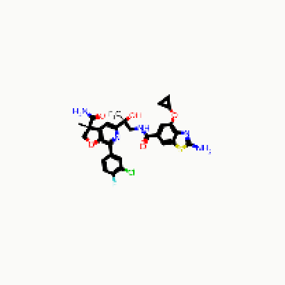 C[C@]1(C(N)=O)COc2c1cc([C@@](O)(CNC(=O)c1cc(OC3CC3)c3nc(N)sc3c1)C(F)(F)F)nc2-c1ccc(F)c(Cl)c1